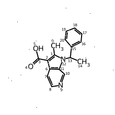 Cc1c(C(=O)O)c2ccncc2n1C(C)c1ccccc1